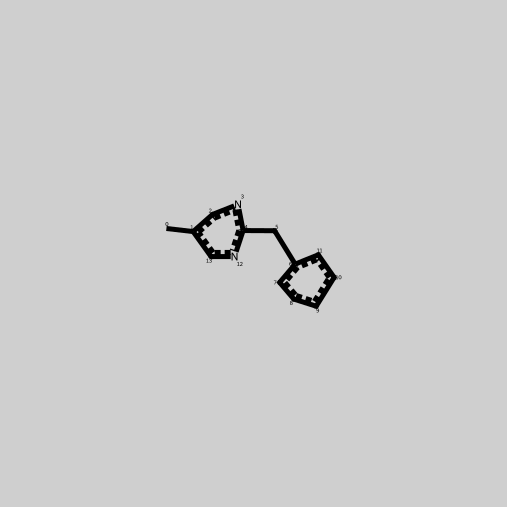 Cc1cnc(Cc2ccccc2)nc1